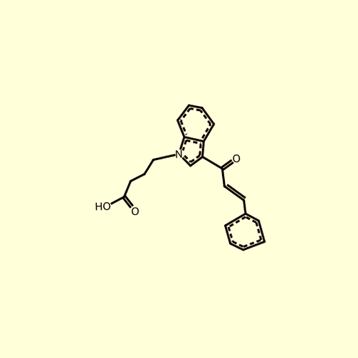 O=C(O)CCCn1cc(C(=O)/C=C/c2ccccc2)c2ccccc21